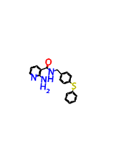 Nc1ncccc1C(=O)NCc1ccc(Sc2ccccc2)cc1